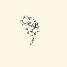 CC#C[C@@H]1CC[C@H]2[C@@H]3CCC4CCCCC4=C3CC[C@]12C